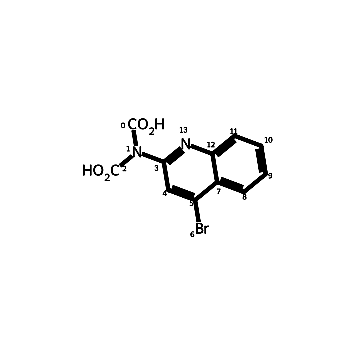 O=C(O)N(C(=O)O)c1cc(Br)c2ccccc2n1